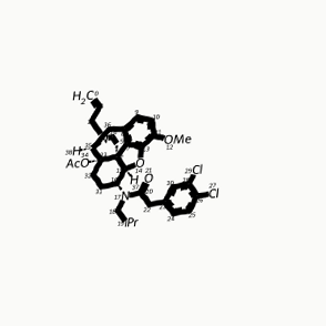 C=CCN1CC[C@]23c4c5ccc(OC)c4O[C@H]2[C@H](N(CC(C)C)C(=O)Cc2ccc(Cl)c(Cl)c2)CC[C@@]3(OC(C)=O)[C@H]1C5